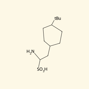 CC(C)(C)C1CCC(CC(N)S(=O)(=O)O)CC1